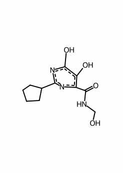 O=C(NCO)c1nc(C2CCCC2)nc(O)c1O